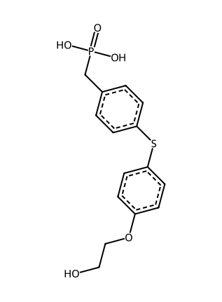 O=P(O)(O)Cc1ccc(Sc2ccc(OCCO)cc2)cc1